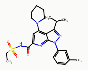 CCS(=O)(=O)NC(=O)c1cc(N2CCCCC2)c2c(C(C)C)nn(-c3cccc(C)c3)c2n1